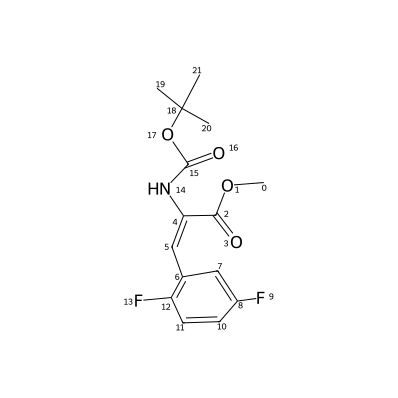 COC(=O)/C(=C\c1cc(F)ccc1F)NC(=O)OC(C)(C)C